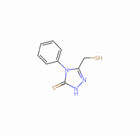 S=c1[nH]nc(CS)n1-c1ccccc1